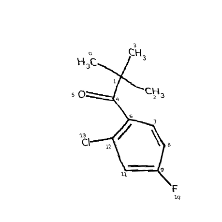 CC(C)(C)C(=O)c1ccc(F)cc1Cl